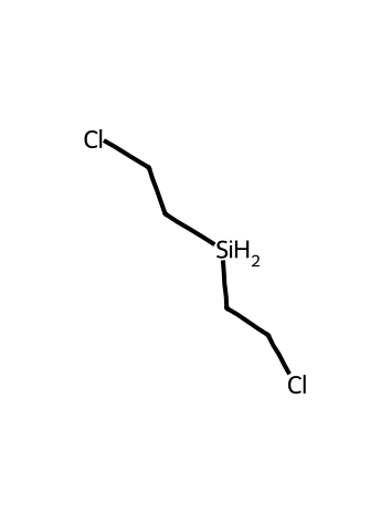 ClCC[SiH2]CCCl